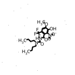 CCCCN(CCCC)C(=O)NC(=O)c1c(C(F)(F)F)cc(OC)c(O)c1[N+](=O)[O-]